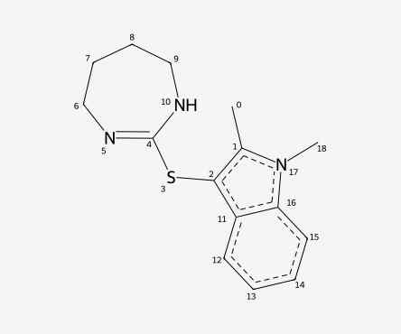 Cc1c(SC2=NCCCCN2)c2ccccc2n1C